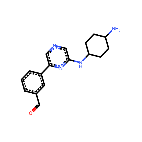 NC1CCC(Nc2cncc(-c3cccc(C=O)c3)n2)CC1